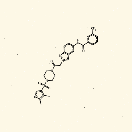 Cc1c(S(=O)(=O)N2CCN(C(=O)Cn3cc4cc(NC(=O)c5cccc(C(F)(F)F)n5)ccc4n3)CC2)cnn1C